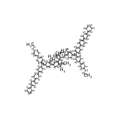 CCCc1ccc(-c2ccc(N(c3ccc(-c4ccc(-c5ccc(-c6ccccc6)cc5)cc4)cc3)c3ccc(-c4ccc5c(c4)C4(CC5(C)C)CC(C)(C)c5ccc(-c6ccc(N(c7ccc(-c8ccc(CCC)cc8)cc7)c7ccc(-c8ccc(-c9ccc(-c%10ccccc%10)cc9)cc8)cc7)cc6C)cc54)c(C)c3)cc2)cc1